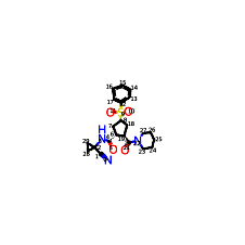 N#CC1(NC(=O)[C@@H]2C[C@@H](S(=O)(=O)c3ccccc3)C[C@H]2C(=O)N2CCCCC2)CC1